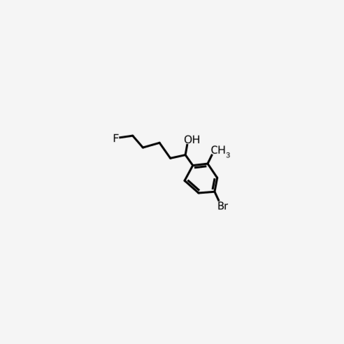 Cc1cc(Br)ccc1C(O)CCCCF